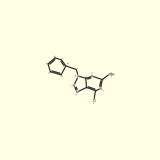 CC(C)(C)c1nc(Cl)c2nnn(Cc3ccccc3)c2n1